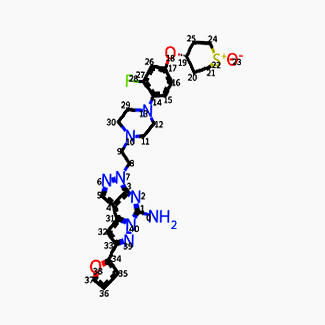 Nc1nc2c(cnn2CCN2CCN(c3ccc(O[C@H]4CC[S@@+]([O-])CC4)cc3F)CC2)c2cc(-c3ccco3)nn12